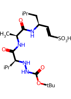 CC(C)C[C@@H](/C=C/S(=O)(=O)O)NC(=O)[C@H](C)NC(=O)[C@@H](NNC(=O)OC(C)(C)C)C(C)C